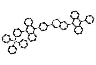 C1=C(c2ccc(-c3c4ccccc4c(-c4cccc([Si](c5ccccc5)(c5ccccc5)c5ccccc5)c4)c4ccccc34)cc2)CCc2cc(-c3c4ccccc4c(-c4ccccc4)c4ccccc34)ccc21